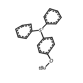 CC(C)(C)Oc1ccc([S+](c2ccccc2)c2ccccc2)cc1